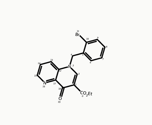 CCOC(=O)c1cn(Cc2ccccc2Br)c2cccnc2c1=O